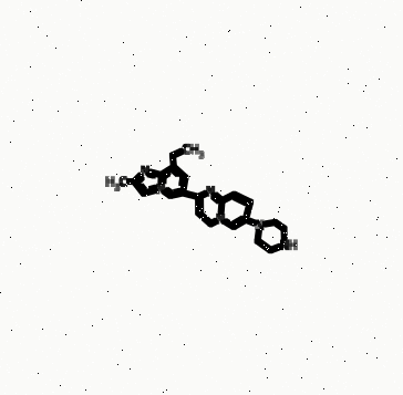 CCc1cc(C2=CCN3C=C(N4CCNCC4)C=CC3=N2)cn2cc(C)nc12